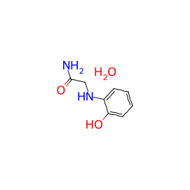 NC(=O)CNc1ccccc1O.O